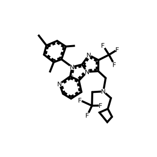 Cc1cc(C)c(-n2c3ncccc3n3c(CN(CC4CCC4)CC(F)(F)F)c(C(F)(F)F)nc23)c(C)c1